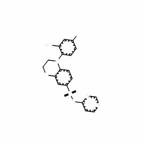 N#Cc1cc(C(F)(F)F)ccc1N1CCOc2cc(S(=O)(=O)Nc3ccncn3)ccc21